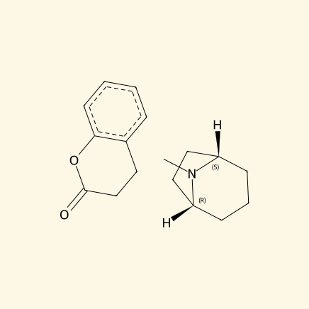 CN1[C@@H]2CCC[C@H]1CC2.O=C1CCc2ccccc2O1